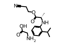 CC(C)c1ccccc1N[C@@H](C)C(=O)OCCC#N.NCC(=O)O